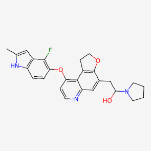 Cc1cc2c(F)c(Oc3ccnc4cc(CC(O)N5CCCC5)c5c(c34)CCO5)ccc2[nH]1